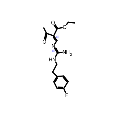 CCOC(=O)/C(=C/N=C(\N)NCCc1ccc(F)cc1)C(C)=O